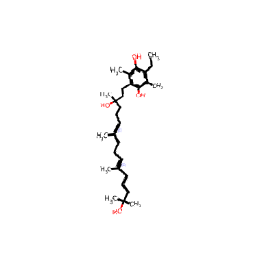 CCc1c(C)c(O)c(CCC(C)(O)CC/C=C(\C)CC/C=C(\C)CCCC(C)(C)O)c(C)c1O